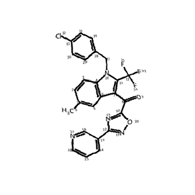 Cc1ccc2c(c1)c(C(=O)c1nc(-c3cccnc3)no1)c(C(F)(F)F)n2Cc1ccc(Cl)cc1